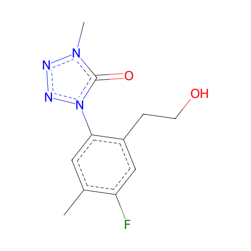 Cc1cc(-n2nnn(C)c2=O)c(CCO)cc1F